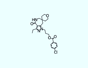 CCc1nn(CCCOC(=O)c2ccc(Cl)cc2)c2c1C(=O)NCC1(CCOCC1)C2